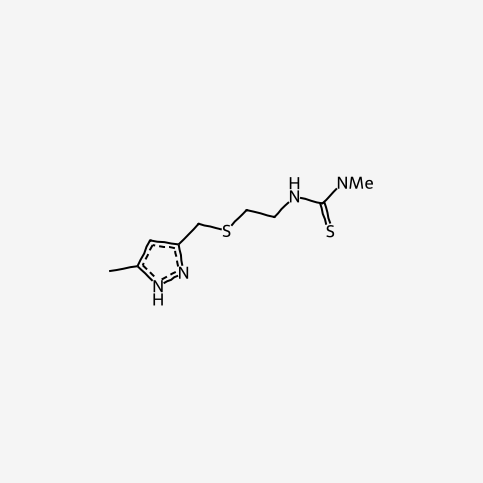 CNC(=S)NCCSCc1cc(C)[nH]n1